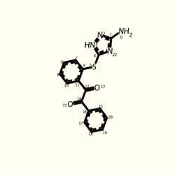 Nc1n[nH]c(Sc2ccccc2C(=O)C(=O)c2ccccc2)n1